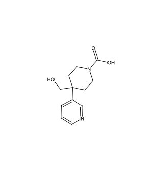 O=C(O)N1CCC(CO)(c2cccnc2)CC1